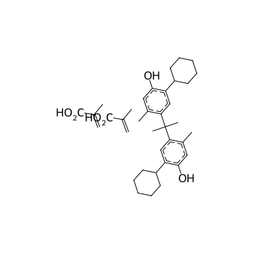 C=C(C)C(=O)O.C=C(C)C(=O)O.Cc1cc(O)c(C2CCCCC2)cc1C(C)(C)c1cc(C2CCCCC2)c(O)cc1C